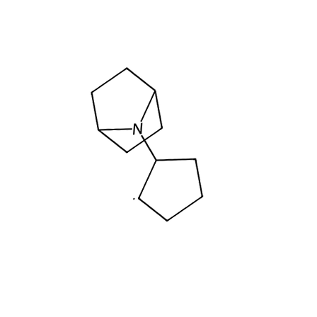 [CH]1CCCC1N1C2CCC1CC2